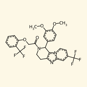 COc1ccc(C2c3c(nc4cc(C(F)(F)F)ccn34)CCN2C(=O)COc2ccccc2C(F)(F)F)cc1OC